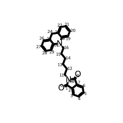 O=C1c2ccccc2C(=O)N1CCCCCCN1c2ccccc2Cc2ccccc21